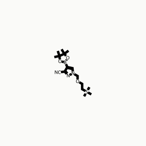 CC1(C)OB(c2cn(COCCS(C)(C)C)nc2C#N)OC1(C)C